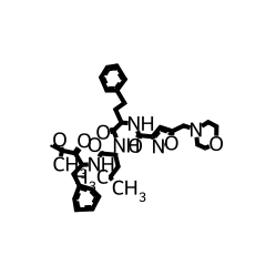 CC(C)CC(NC(=O)C(CCc1ccccc1)NC(=O)c1cc(CN2CCOCC2)on1)C(=O)NC(Cc1ccccc1)C(=O)C1(C)CO1